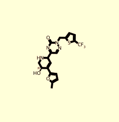 Cc1ccc(C2=CC(c3cnn(Cc4ccc(C(F)(F)F)s4)c(=O)n3)NC[C@@H]2O)o1